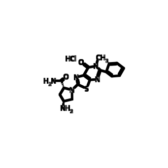 Cl.Cn1c(-c2ccccc2)nc2sc(N3C[C@@H](N)C[C@@H]3C(N)=O)nc2c1=O